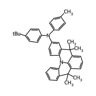 Cc1ccc(N(c2ccc(C(C)(C)C)cc2)c2ccc3c(c2)C(C)(C)c2cccc4c2N3c2ccccc2C4(C)C)cc1